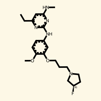 CCc1cc(NC)nc(Nc2ccc(OC)c(OCCCN3CC[C@@H](F)C3)c2)n1